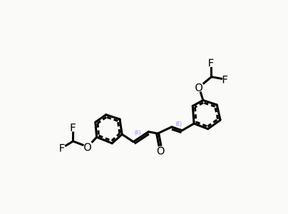 O=C(/C=C/c1cccc(OC(F)F)c1)/C=C/c1cccc(OC(F)F)c1